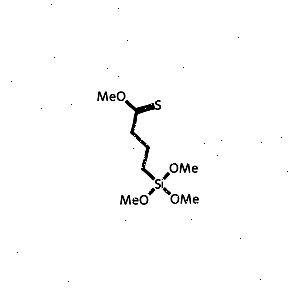 COC(=S)CCC[Si](OC)(OC)OC